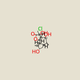 C=C1C[C@H](O)[C@@H]2[C@H](OC(=O)[C@]2(O)CCl)[C@H]2[C@H](C)C(O)C[C@@H]12